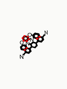 N#Cc1ccc(C2CCC(c3ccc(C#N)cc3)C(N3c4ccccc4Oc4ccccc43)C2N2c3ccccc3Oc3ccccc32)cc1